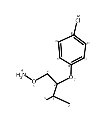 CC(C)C(CON)Oc1ccc(Cl)cc1